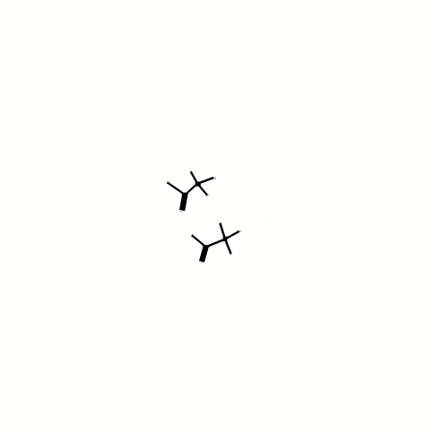 O=C([O-])C(F)(F)F.O=C([O-])C(F)(F)F.[Ca+2]